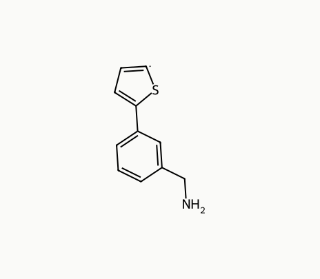 NCc1cccc(-c2cc[c]s2)c1